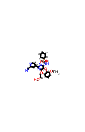 COc1ccccc1Oc1c(NS(=O)(=O)c2ccccc2)nc(-c2ccnc(C#N)c2)nc1OCCO